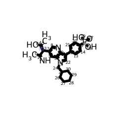 CC(=N)/C(=C(/C)O)c1cnc2c(-c3ccc(P(=O)(O)O)cc3)cn(CC3CCCCC3)c2c1